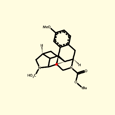 COc1ccc2c(c1)[C@]13CCN(C(=O)OC(C)(C)C)[C@H](C2)[C@]12CCC1C3[C@@H](CN1C(=O)O)C2